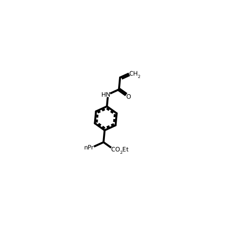 C=CC(=O)Nc1ccc(C(CCC)C(=O)OCC)cc1